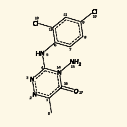 Cc1nnc(Nc2ccc(Cl)cc2Cl)n(N)c1=O